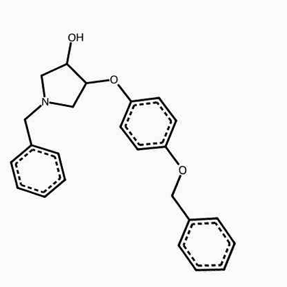 OC1CN(Cc2ccccc2)CC1Oc1ccc(OCc2ccccc2)cc1